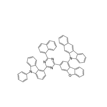 c1ccc(-n2c3ccccc3c3c(-c4nc(-c5cc(-n6c7ccccc7c7cc8ccccc8cc76)c6c(c5)oc5ccccc56)nc(-c5cccc6ccccc56)n4)cccc32)cc1